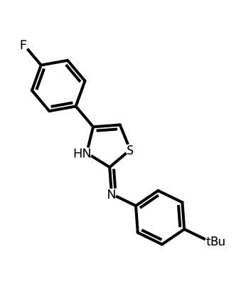 CC(C)(C)c1ccc(N=c2[nH]c(-c3ccc(F)cc3)cs2)cc1